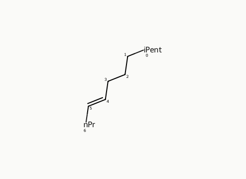 [CH2]C(CCC)CCC/C=C/CCC